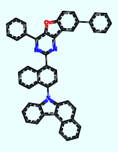 c1ccc(-c2ccc3oc4c(-c5ccccc5)nc(-c5ccc(-n6c7ccccc7c7c8ccccc8ccc76)c6ccccc56)nc4c3c2)cc1